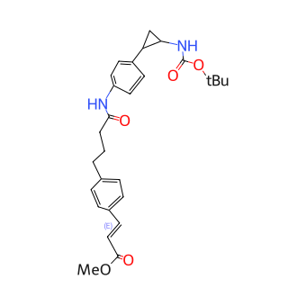 COC(=O)/C=C/c1ccc(CCCC(=O)Nc2ccc(C3CC3NC(=O)OC(C)(C)C)cc2)cc1